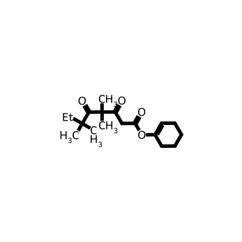 CCC(C)(C)C(=O)C(C)(C)C(=O)CC(=O)OC1=CCCCC1